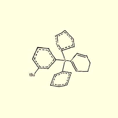 CC(C)(C)c1cccc(S(C2=CCCC=C2)(c2ccccc2)c2ccccc2)c1